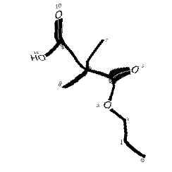 CCCOC(=O)C(C)(C)C(=O)O